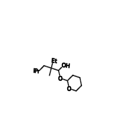 CCC(C)(CC(C)C)C(O)OC1CCCCO1